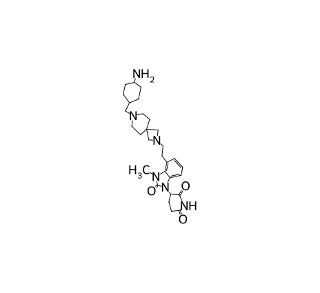 Cn1c(=O)n(C2CCC(=O)NC2=O)c2cccc(CCN3CC4(CCN(CC5CCC(N)CC5)CC4)C3)c21